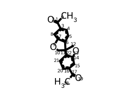 CC(=O)c1ccc2c(c1)OCC21COc2cc(C(C)=O)ccc21